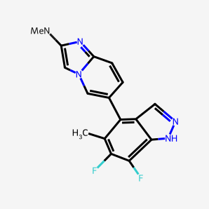 CNc1cn2cc(-c3c(C)c(F)c(F)c4[nH]ncc34)ccc2n1